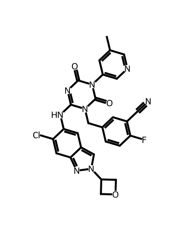 Cc1cncc(-n2c(=O)nc(Nc3cc4cn(C5COC5)nc4cc3Cl)n(Cc3ccc(F)c(C#N)c3)c2=O)c1